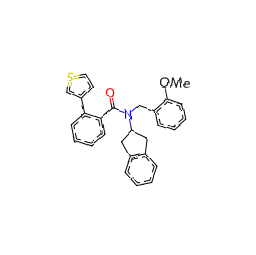 COc1ccccc1CN(C(=O)c1ccccc1-c1ccsc1)C1Cc2ccccc2C1